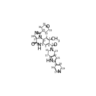 Cc1cc2c(cc1C(=O)N1CCc3[nH]c(-c4ccncc4)cc3C1)[nH]c(=O)c1cnc(C3CCOCC3)n12